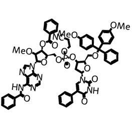 COc1ccc(C(OC[C@H]2O[C@@H](n3cc(-c4ccccc4)c(=O)[nH]c3=O)CC2OP(=O)(OCCC#N)OC[C@H]2O[C@@H](n3cnc4c(NC(=O)c5ccccc5)ncnc43)C(OC)[C@H]2OC(=O)c2ccccc2)(c2ccccc2)c2ccc(OC)cc2)cc1